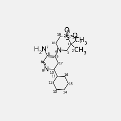 CC1(C)CN(C2=C(N)C=NC(C3CCCCC3)C2)CCS1(=O)=O